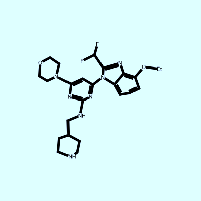 CCOc1cccc2c1nc(C(F)F)n2-c1cc(N2CCOCC2)nc(NCC2CCNCC2)n1